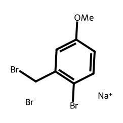 COc1ccc(Br)c(CBr)c1.[Br-].[Na+]